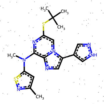 Cc1cc(N(C)c2nc(SC(C)(C)C)cn3c(-c4cn[nH]c4)cnc23)sn1